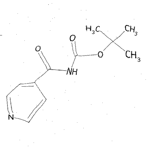 CC(C)(C)OC(=O)NC(=O)c1ccncc1